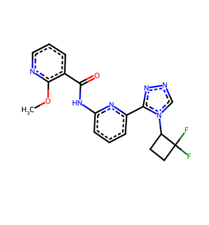 COc1ncccc1C(=O)Nc1cccc(-c2nncn2C2CCC2(F)F)n1